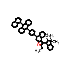 C=Cc1oc2cc(-c3ccc(-c4c5ccccc5c(-c5cccc6ccccc56)c5ccccc45)cc3)c3ccccc3c2c1C1=C(C)C(C)(C)c2ccccc21